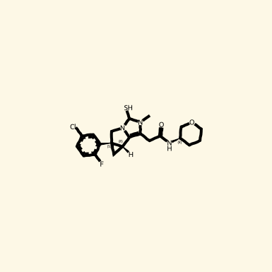 CN1C(CC(=O)N[C@@H]2CCCOC2)=C2[C@@H]3C[C@]3(c3cc(Cl)ccc3F)CN2C1S